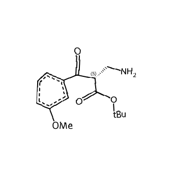 COc1cccc(C(=O)[C@H](CN)C(=O)OC(C)(C)C)c1